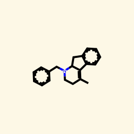 CC1=C2c3ccccc3CC2N(Cc2ccccc2)CC1